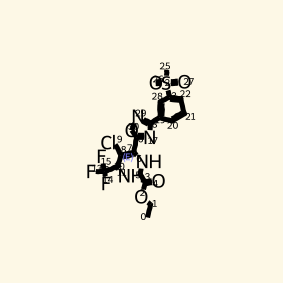 CCOC(=O)CN/C(=C(/Cl)C(=N)C(F)(F)F)c1nc(-c2cccc(S(C)(=O)=O)c2)no1